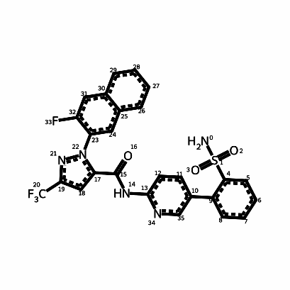 NS(=O)(=O)c1ccccc1-c1ccc(NC(=O)c2cc(C(F)(F)F)nn2-c2cc3ccccc3cc2F)nc1